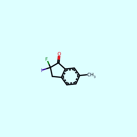 Cc1ccc2c(c1)C(=O)C(F)(I)C2